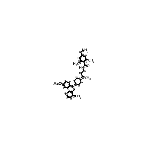 COc1ccc(N(Cc2cnccc2C)C2CCN(C(C)CCNC(=O)c3c(C)cc(CN)cc3C)CC2)cc1